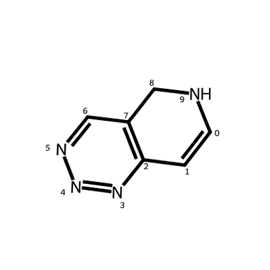 C1=Cc2nnncc2CN1